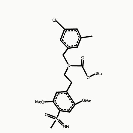 COc1cc(S(C)(=N)=O)c(OC)cc1CCN(Cc1cc(C)cc(Cl)c1)C(=O)OC(C)(C)C